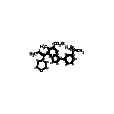 CC=C(c1c(C)c(C(=O)OCC)cc2c(-c3ccnc(N(C)C)c3)ccn12)N1CCOCC1